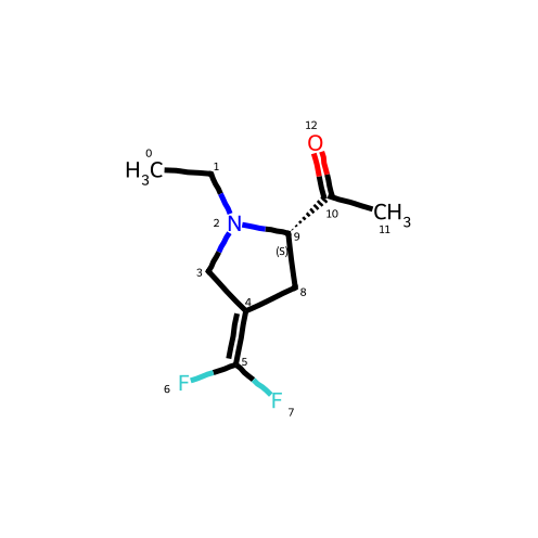 CCN1CC(=C(F)F)C[C@H]1C(C)=O